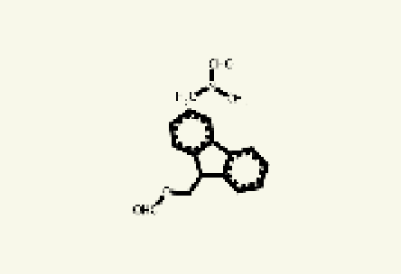 CN(C)C=O.O=COCC1c2ccccc2-c2ccccc21